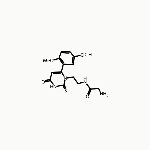 COc1ccc(Cl)cc1-c1cc(=O)[nH]c(=S)n1CCNC(=O)CN.Cl